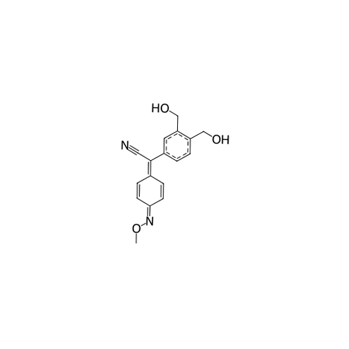 CON=C1C=CC(=C(C#N)c2ccc(CO)c(CO)c2)C=C1